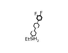 CC[SiH2][C@H]1CC[C@H]([C@H]2CC[C@H](c3ccc(F)c(F)c3)CC2)CC1